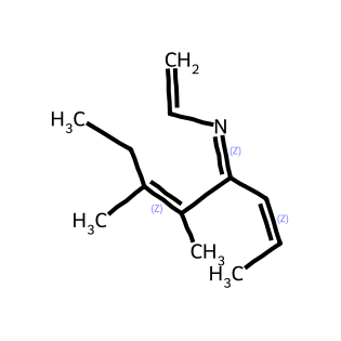 C=C/N=C(/C=C\C)C(\C)=C(\C)CC